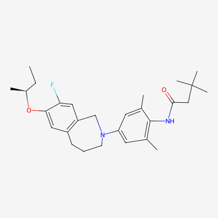 CC[C@H](C)Oc1cc2c(cc1F)CN(c1cc(C)c(NC(=O)CC(C)(C)C)c(C)c1)CCC2